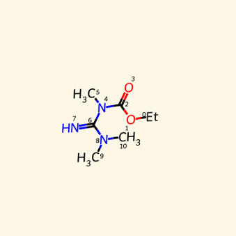 CCOC(=O)N(C)C(=N)N(C)C